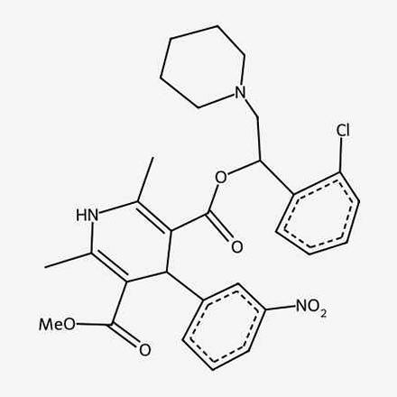 COC(=O)C1=C(C)NC(C)=C(C(=O)OC(CN2CCCCC2)c2ccccc2Cl)C1c1cccc([N+](=O)[O-])c1